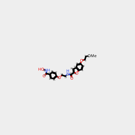 COCCOc1ccc2oc(C(=O)NCCOc3ccc(C(=O)NO)cc3)cc2c1